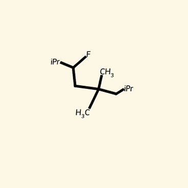 CC(C)CC(C)(C)CC(F)C(C)C